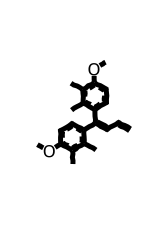 C=CC=C(c1ccc(OC)c(C)c1C)c1ccc(OC)c(C)c1C